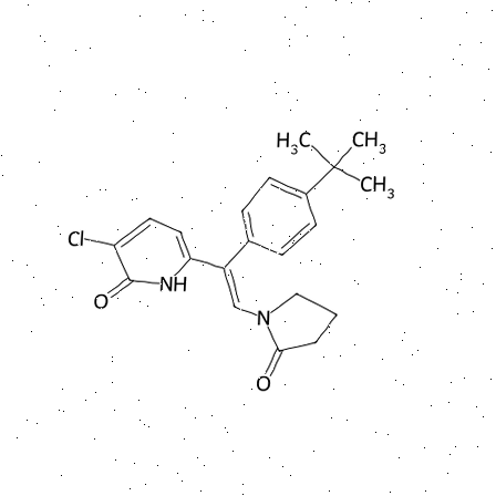 CC(C)(C)c1ccc(/C(=C\N2CCCC2=O)c2ccc(Cl)c(=O)[nH]2)cc1